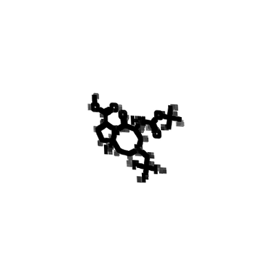 COC(=O)[C@@H]1CC[C@@H]2CCN(CC(F)(F)F)C[C@H](NC(=O)OC(C)(C)C)C(=O)N21